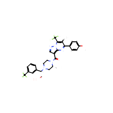 COc1ccc(-c2nc3c(C(=O)N4CCN([C@H](CO)c5cccc(C(F)(F)F)c5)C[C@H]4C)cnn3c(C(F)(F)F)c2C)cc1